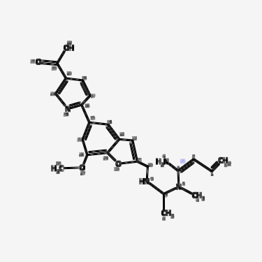 C=C/C=C(/N)N(C)C(C)NCc1cc2cc(-c3ccc(C(=O)O)cn3)cc(OC)c2o1